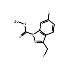 CC(C)(C)OC(=O)n1nc(CBr)c2ccc(F)cc21